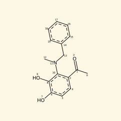 CC(=O)c1ccc(O)c(O)c1N(C)Cc1ccccc1